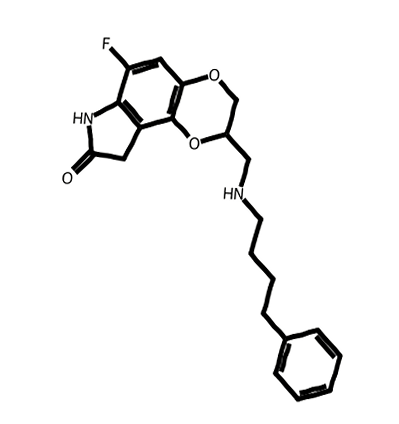 O=C1Cc2c(c(F)cc3c2OC(CNCCCCc2ccccc2)CO3)N1